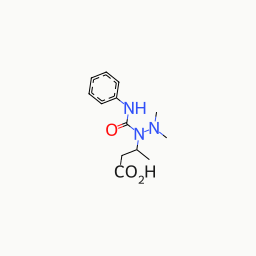 CC(CC(=O)O)N(C(=O)Nc1ccccc1)N(C)C